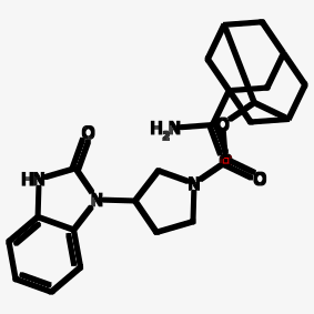 NC(=O)C12CC3CC(C1)C(OC(=O)N1CCC(n4c(=O)[nH]c5ccccc54)C1)C(C3)C2